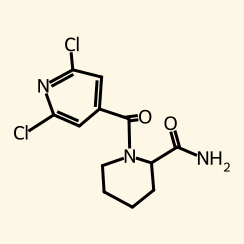 NC(=O)C1CCCCN1C(=O)c1cc(Cl)nc(Cl)c1